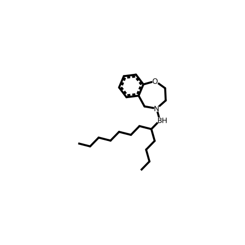 CCCCCCCC(BN1CCOc2ccccc2C1)CCCC